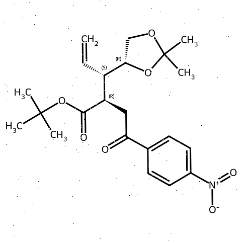 C=C[C@H]([C@@H]1COC(C)(C)O1)[C@@H](CC(=O)c1ccc([N+](=O)[O-])cc1)C(=O)OC(C)(C)C